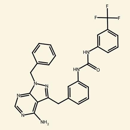 Nc1ncnc2c1c(Cc1cccc(NC(=O)Nc3cccc(C(F)(F)F)c3)c1)nn2Cc1ccccc1